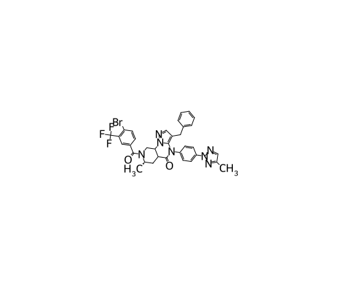 Cc1cnn(-c2ccc(N3C(=O)C4C[C@@H](C)N(C(=O)c5ccc(Br)c(C(F)(F)F)c5)CC4n4ncc(Cc5ccccc5)c43)cc2)n1